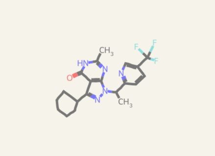 Cc1nc2c(c(C3CCCCC3)nn2C(C)c2ccc(C(F)(F)F)cn2)c(=O)[nH]1